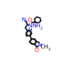 CN1Cc2cc(-c3ccc(CC(C#N)NC(=O)C4(N)CCCCC4)cc3)ccc2C1=O